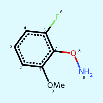 COc1cccc(F)c1ON